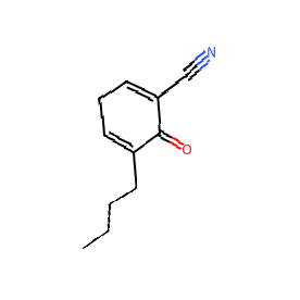 CCCCC1=CCC=C(C#N)C1=O